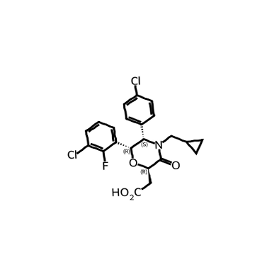 O=C(O)C[C@H]1O[C@H](c2cccc(Cl)c2F)[C@H](c2ccc(Cl)cc2)N(CC2CC2)C1=O